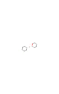 OC(F)(c1ccc(F)c(F)c1F)c1c(F)c(F)c(F)c(F)c1F